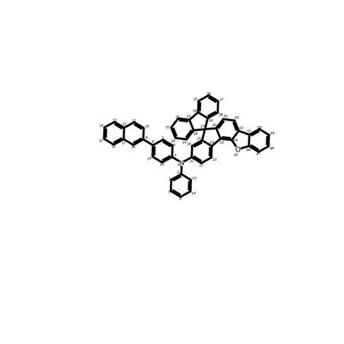 c1ccc(N(c2ccc(-c3ccc4ccccc4c3)cc2)c2ccc3c(c2)C2(c4ccccc4-c4ccccc42)c2ccc4c(oc5ccccc54)c2-3)cc1